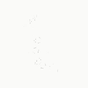 C=N/N=C(/Br)SCCOc1cccc(-c2cc(F)c(Cc3nc4ccc(C(=O)OC)cc4n3C[C@@H]3CCO3)cc2F)n1